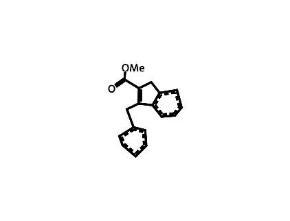 COC(=O)C1=C(Cc2ccccc2)c2ccccc2C1